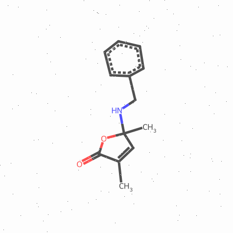 CC1=CC(C)(NCc2ccccc2)OC1=O